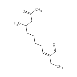 CCC(C=O)=CCCCCC(C)CC(C)=O